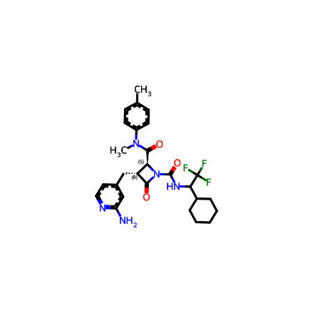 Cc1ccc(N(C)C(=O)[C@@H]2[C@@H](Cc3ccnc(N)c3)C(=O)N2C(=O)NC(C2CCCCC2)C(F)(F)F)cc1